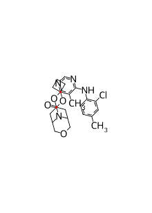 Cc1ccc(Nc2ncnc(OC3CC4COCC(C3)N4C(=O)OC3CCC3)c2C)c(Cl)c1